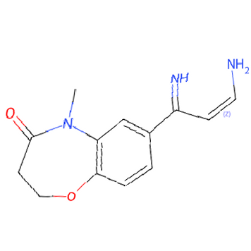 CN1C(=O)CCOc2ccc(C(=N)/C=C\N)cc21